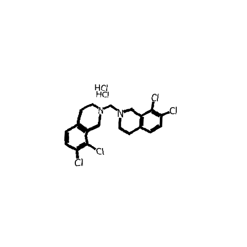 Cl.Cl.Clc1ccc2c(c1Cl)CN(CN1CCc3ccc(Cl)c(Cl)c3C1)CC2